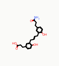 NC(=O)CCc1ccc(O)c(CC=CCc2cc(CCC(=O)O)ccc2O)c1